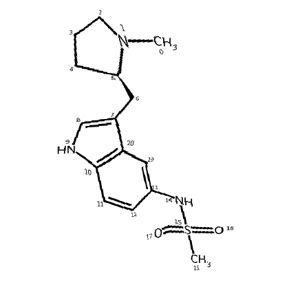 CN1CCC[C@@H]1Cc1c[nH]c2ccc(NS(C)(=O)=O)cc12